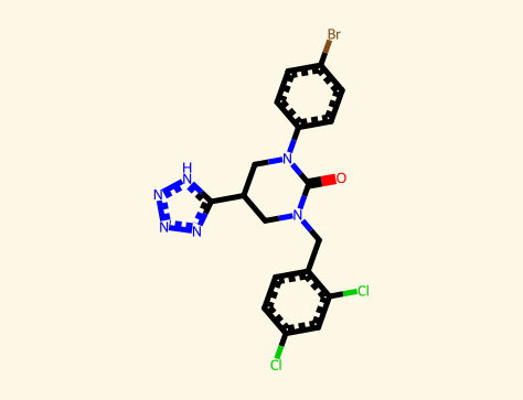 O=C1N(Cc2ccc(Cl)cc2Cl)CC(c2nnn[nH]2)CN1c1ccc(Br)cc1